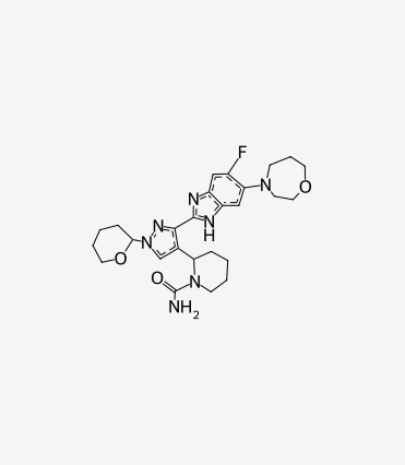 NC(=O)N1CCCCC1c1cn(C2CCCCO2)nc1-c1nc2cc(F)c(N3CCCOCC3)cc2[nH]1